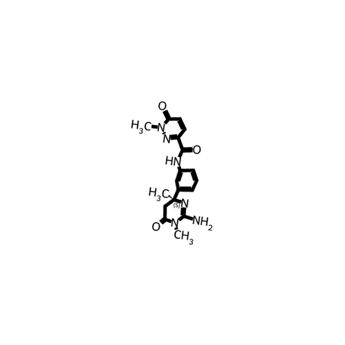 CN1C(=O)C[C@@](C)(c2cccc(NC(=O)c3ccc(=O)n(C)n3)c2)N=C1N